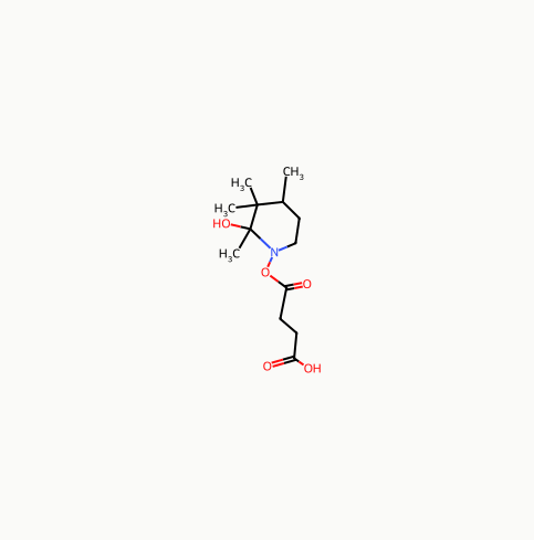 CC1CCN(OC(=O)CCC(=O)O)C(C)(O)C1(C)C